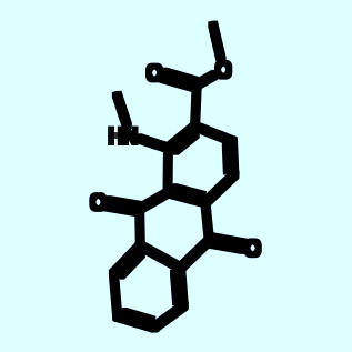 CNc1c(C(=O)OC)ccc2c1C(=O)c1ccccc1C2=O